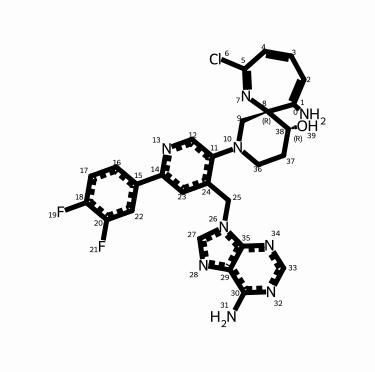 NC1=CC=CC(Cl)=N[C@]12CN(c1cnc(-c3ccc(F)c(F)c3)cc1Cn1cnc3c(N)ncnc31)CC[C@H]2O